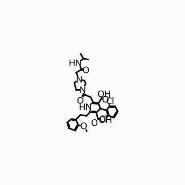 COc1ccccc1CCC1=C(C(=O)O)C(c2c(Cl)cccc2Cl)C(C(=O)O)=C(CC(=O)N2CCN(CC(=O)NC(C)C)CC2)N1